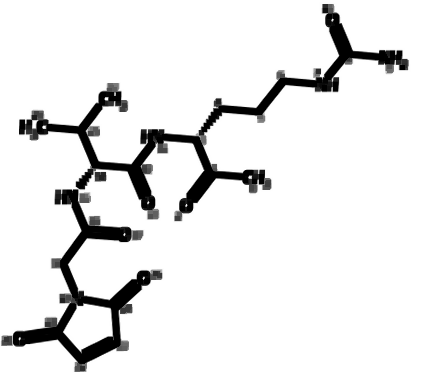 CC(=O)[C@@H](CCCNC(N)=O)NC(=O)[C@H](NC(=O)CN1C(=O)C=CC1=O)C(C)C